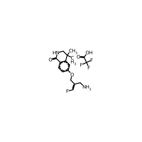 CC1(C)CNC(=O)c2ccc(OC/C(=C\F)CN)cc21.O=C(O)C(F)(F)F